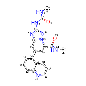 CCNC(=O)Nc1nc2cc(-c3cccc4ncccc34)cc(C(=O)NCC)n2n1